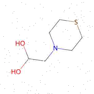 OC(O)CN1CCSCC1